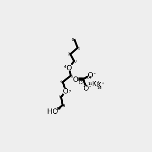 CCCCOCCOCCO.O=C([O-])[O-].[K+].[K+]